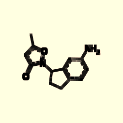 Cc1cc(=O)n(C2CCc3ccc(N)cc32)o1